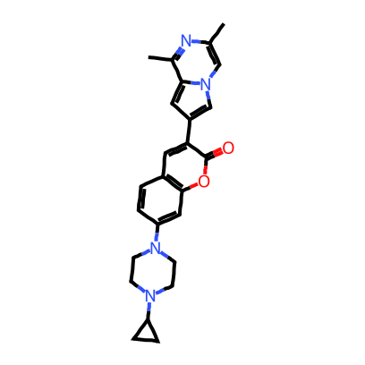 Cc1cn2cc(-c3cc4ccc(N5CCN(C6CC6)CC5)cc4oc3=O)cc2c(C)n1